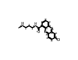 CNCCCNC(=O)c1cccc2nc3cc(Cl)ccc3nc12